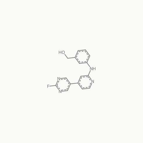 OCc1cccc(Nc2cc(-c3cnc(F)nc3)ccn2)c1